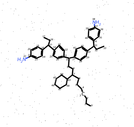 CCCCCCCC(CCC(c1ccc(C(CC)c2ccc(N)cc2)cc1)c1ccc(C(CC)c2ccc(N)cc2)cc1)C1CCCCC1